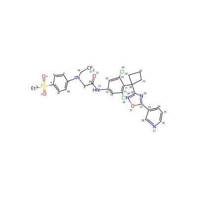 CCS(=O)(=O)c1ccc(N(CC(=O)Nc2cc(Cl)c(C3(c4noc(-c5cccnc5)n4)CCC3)c(Cl)c2)CC(F)(F)F)cc1